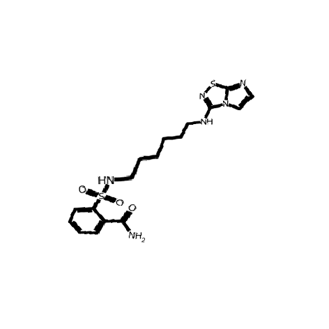 NC(=O)c1ccccc1S(=O)(=O)NCCCCCCNc1nsc2nccn12